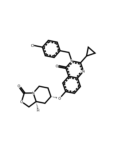 O=C1OC[C@@H]2C[C@@H](Oc3ccc4nc(C5CC5)n(Cc5ccc(Cl)cc5)c(=O)c4c3)CCN12